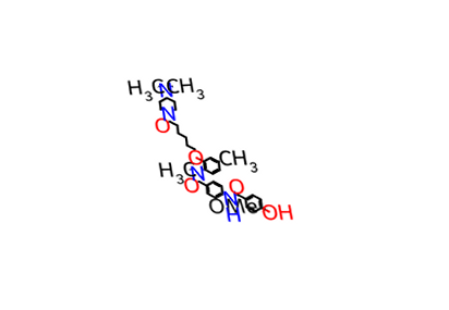 COc1cc(C(=O)N(C)c2ccc(C)cc2OCCCCCC(=O)N2CCC(N(C)C)CC2)ccc1NC(=O)c1ccc(O)cc1